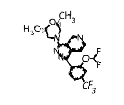 C[C@@H]1CN(c2nnc(-c3ccc(C(F)(F)F)cc3OC(F)F)c3ccncc23)C[C@H](C)O1